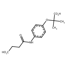 CC(C)(Oc1ccc(NC(=O)CCC(=O)O)cc1)C(=O)O